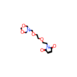 O=C1C=CC(=O)N1CCOCCOCN1COCOC1